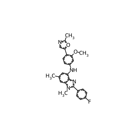 COc1cc(Nc2cc(C)cc3c2nc(-c2ccc(F)cc2)n3C)ccc1-c1cnc(C)o1